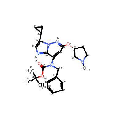 CN1CC[C@@H](Oc2cc(N(Cc3ccccc3)C(=O)OC(C)(C)C)c3ncc(C4CC4)n3n2)C1